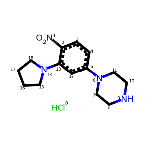 Cl.O=[N+]([O-])c1ccc(N2CCNCC2)cc1N1CCCC1